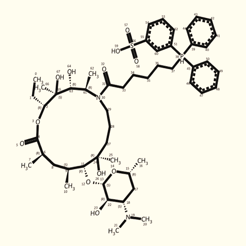 CC[C@H]1OC(=O)[C@H](C)C[C@H](C)[C@@H](O[C@@H]2O[C@H](C)C[C@H](N(C)C)[C@H]2O)[C@](C)(O)CCCN(C(=O)CCCCC[PH](c2ccccc2)(c2ccccc2)c2cccc(S(=O)(=O)O)c2)[C@H](C)[C@@H](O)[C@]1(C)O